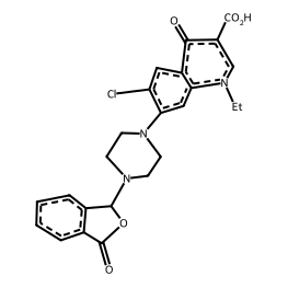 CCn1cc(C(=O)O)c(=O)c2cc(Cl)c(N3CCN(C4OC(=O)c5ccccc54)CC3)cc21